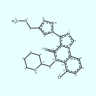 COCc1cn(-c2ncn3c2c(=O)n(CC2CCCCO2)c2c(Cl)cccc23)nn1